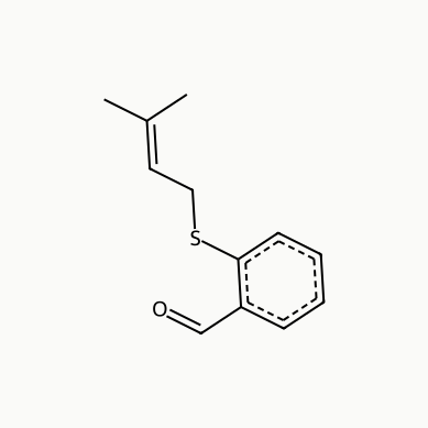 CC(C)=CCSc1ccccc1C=O